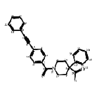 C=C(c1ccc(C#Cc2ccccc2)cc1)N1CCC(C(C)=O)(c2ccccc2)CC1